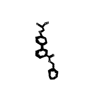 O=C(O)COc1ccc(-c2cccc(C(=O)OCc3ccccc3)c2)cc1